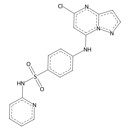 O=S(=O)(Nc1ccccn1)c1ccc(Nc2cc(Cl)nc3ccnn23)cc1